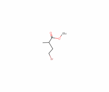 CC(CCBr)C(=O)OC(C)(C)C